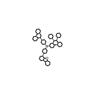 c1ccc(-c2c(-c3ccccc3)c3cc(N(c4ccc(-c5cc6ccccc6c6ccccc56)cc4)c4ccc(-c5cccc6c5oc5ccccc56)cc4)ccc3c3ccccc23)cc1